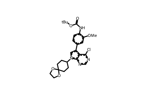 COc1cc(-c2cn(C3CCC4(CC3)OCCO4)c3ncnc(Cl)c23)ccc1NC(=O)OC(C)(C)C